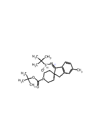 Cc1ccc2c(c1)CC1(CCN(C(=O)OC(C)(C)C)CC1)/C2=N\[S@+]([O-])C(C)(C)C